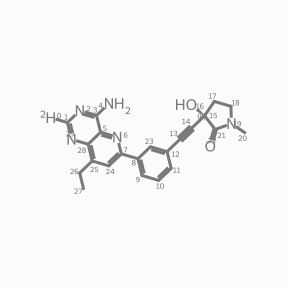 [2H]c1nc(N)c2nc(-c3cccc(C#C[C@]4(O)CCN(C)C4=O)c3)cc(CC)c2n1